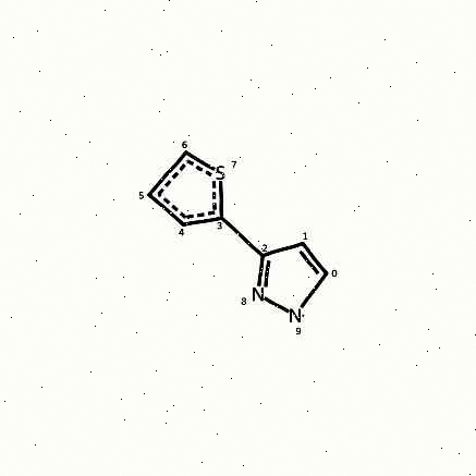 C1=CC(c2cccs2)=N[N]1